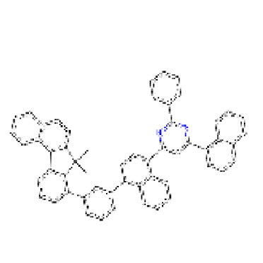 CC1(C)c2ccc3ccccc3c2-c2cccc(-c3cccc(-c4ccc(-c5cc(-c6cccc7ccccc67)nc(-c6ccccc6)n5)c5ccccc45)c3)c21